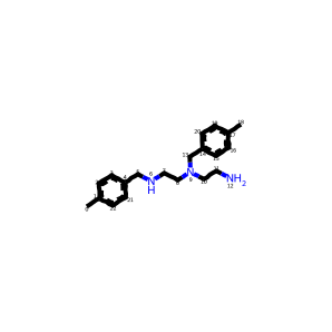 Cc1ccc(CNCCN(CCN)Cc2ccc(C)cc2)cc1